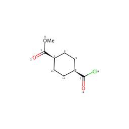 COC(=O)[C@H]1CC[C@@H](C(=O)Cl)CC1